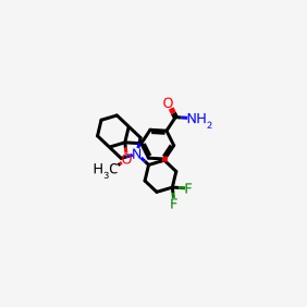 COC1(c2cccc(C(N)=O)c2)C2CCCC1CN(C1CCC(F)(F)CC1)C2